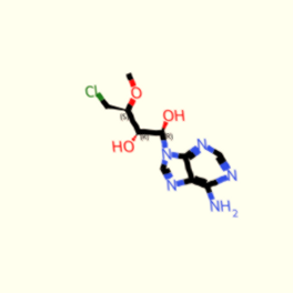 CO[C@H](CCl)[C@@H](O)[C@@H](O)n1cnc2c(N)ncnc21